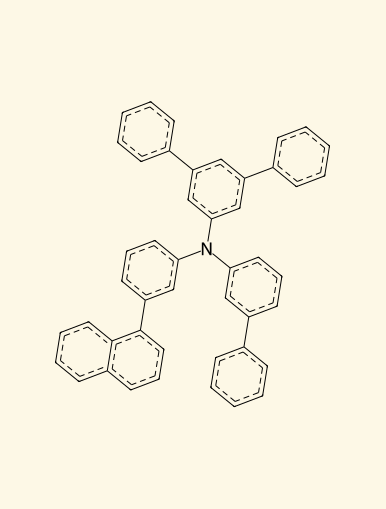 c1ccc(-c2cccc(N(c3cc(-c4ccccc4)cc(-c4ccccc4)c3)c3cccc(-c4cccc5ccccc45)c3)c2)cc1